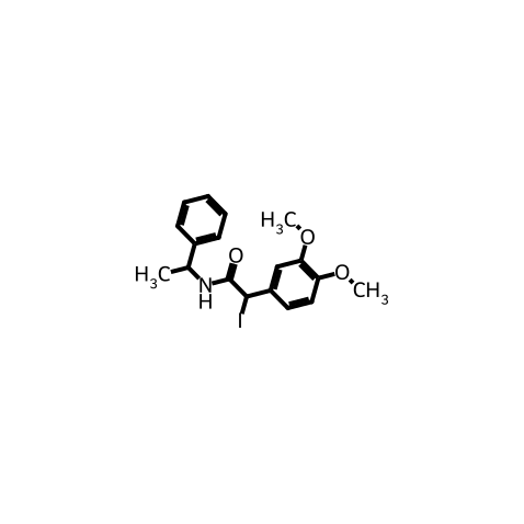 COc1ccc(C(I)C(=O)NC(C)c2ccccc2)cc1OC